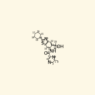 Cc1cncc(C(=O)Nc2cc3sc(C4CCCCC4)nc3cc2C(C)(C)O)n1